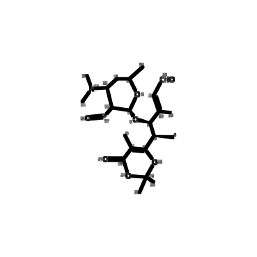 CC1=C([C@H](C)[C@@H](O[C@@H]2OC(C)CC(N(C)C)C2P=O)/C(C)=C/C=O)OC(C)(C)OC1=O